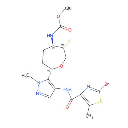 Cc1sc(Br)nc1C(=O)Nc1cnn(C)c1[C@@H]1CC[C@@H](NC(=O)OC(C)(C)C)[C@H](F)CO1